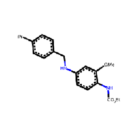 CCOC(=O)Nc1ccc(NCc2ccc(C(C)C)cc2)cc1OC